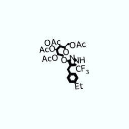 CCc1ccc(Cc2c(O[C@@H]3O[C@H](COC(C)=O)[C@@H](OC(C)=O)[C@H](OC(C)=O)[C@H]3OC(C)=O)n[nH]c2C(F)(F)F)cc1